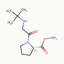 CC(C)(C)NCC(=O)N1CCC[C@H]1C(=O)ON